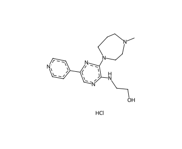 CN1CCCN(c2nc(-c3ccncc3)cnc2NCCO)CC1.Cl